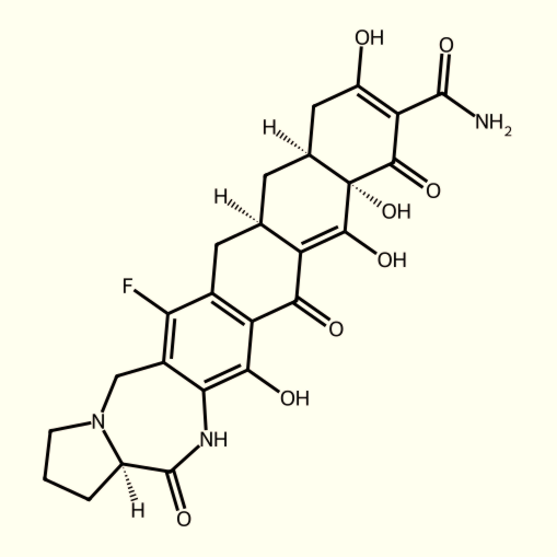 NC(=O)C1=C(O)C[C@@H]2C[C@@H]3Cc4c(F)c5c(c(O)c4C(=O)C3=C(O)[C@]2(O)C1=O)NC(=O)[C@H]1CCCN1C5